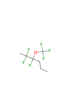 CCCC(F)(OC(F)(F)F)C(C)(F)F